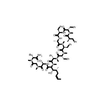 C/C=C\C[C@@H](C)[C@H](O)C(C(=O)N[C@H](CC)C(=O)N(C)CC(=O)N(C)[C@@H](C(N)=O)C(C)CC)N(C)C(=O)[C@H](C(C)C)N(C)C(=O)[C@@H](CC(C)C)N(C)C(=O)[C@H](CC(C)C)N(C)C(=O)[C@H](C)NC(=O)[C@@H](CC(C)C)NC(=O)[C@H](CC(C)C)N(C)C(=O)[C@H](C)CC(C)C